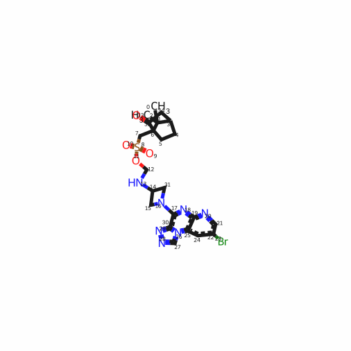 CC1(C)C2CCC1(CS(=O)(=O)OCNC1CN(c3nc4ncc(Br)cc4n4cnnc34)C1)C(=O)C2